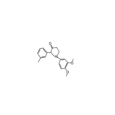 COc1ccc(N2CCC(=O)C(c3cccc(C)c3)C2)cc1OC